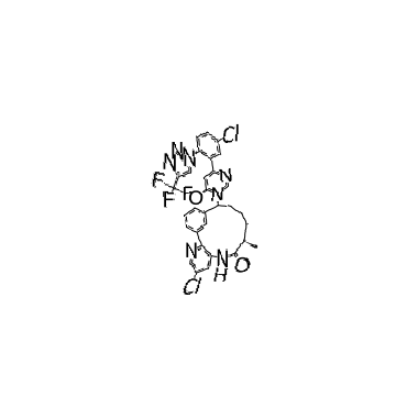 C[C@@H]1CCC[C@H](n2cnc(-c3cc(Cl)ccc3-n3cc(C(F)(F)F)nn3)cc2=O)c2cccc(c2)-c2ncc(Cl)cc2NC1=O